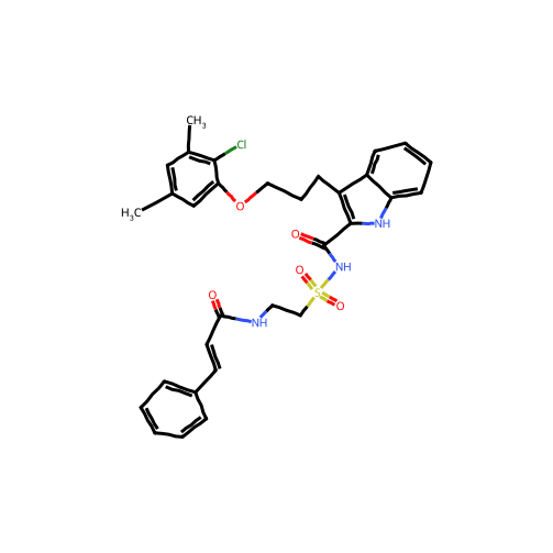 Cc1cc(C)c(Cl)c(OCCCc2c(C(=O)NS(=O)(=O)CCNC(=O)/C=C/c3ccccc3)[nH]c3ccccc23)c1